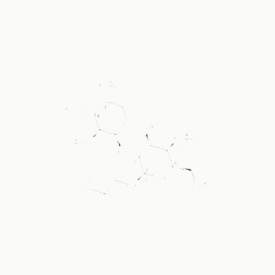 CC(=O)OC[C@H]1O[C@@H](OCCBr)[C@H](O[C@@H]2O[C@@H](C)[C@@H](OC(C)=O)[C@@H](OC(C)=O)[C@@H]2OC(C)=O)[C@@H](OC(C)=O)[C@H]1OC(C)=O